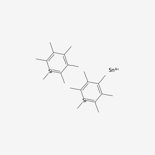 Cc1c(C)c(C)[si](C)c(C)c1C.Cc1c(C)c(C)[si](C)c(C)c1C.[Sn+4]